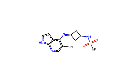 CCCS(=O)(=O)NC1CC(=Nc2c(C#N)cnc3[nH]ccc23)C1